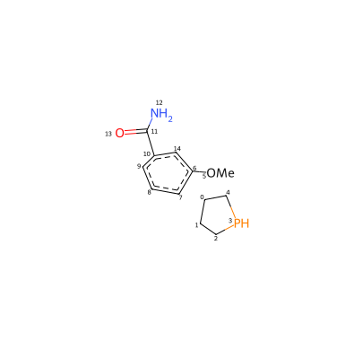 C1CCPC1.COc1cccc(C(N)=O)c1